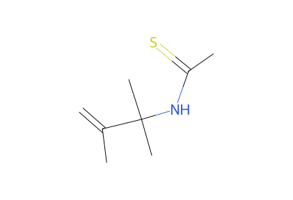 C=C(C)C(C)(C)NC(C)=S